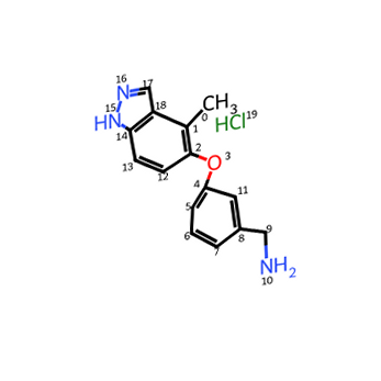 Cc1c(Oc2cccc(CN)c2)ccc2[nH]ncc12.Cl